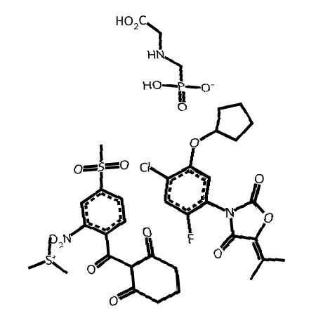 CC(C)=C1OC(=O)N(c2cc(OC3CCCC3)c(Cl)cc2F)C1=O.CS(=O)(=O)c1ccc(C(=O)C2C(=O)CCCC2=O)c([N+](=O)[O-])c1.C[S+](C)C.O=C(O)CNCP(=O)([O-])O